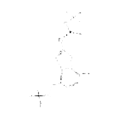 CC(C)(C)OC(=O)Nc1nc2c(OSC(F)(F)F)ccc(F)c2s1